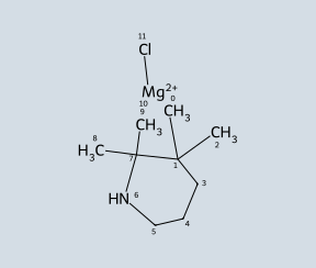 CC1(C)CCCNC1(C)C.[Mg+2][Cl]